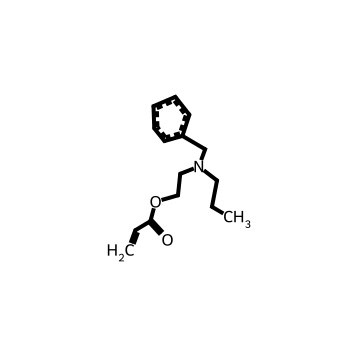 C=CC(=O)OCCN(CCC)Cc1ccccc1